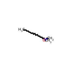 C=CC[N+](C)([O-])CCCCCCCCCCCCCCCCCCC